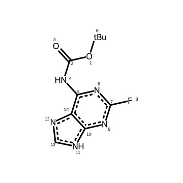 CC(C)(C)OC(=O)Nc1nc(F)nc2[nH]cnc12